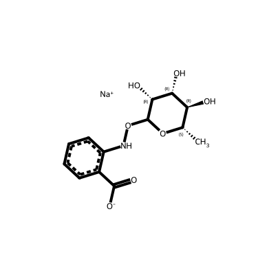 C[C@@H]1OC(ONc2ccccc2C(=O)[O-])[C@H](O)[C@H](O)[C@H]1O.[Na+]